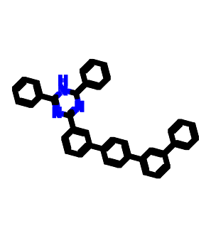 c1ccc(C2=NC(c3cccc(-c4ccc(-c5cccc(-c6ccccc6)c5)cc4)c3)=NC(c3ccccc3)N2)cc1